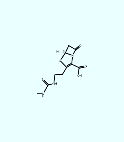 CNC(=S)NCCC1=C(C(=O)O)N2C(=O)C[C@@H]2S1